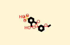 CCOc1cccc(OC(=O)c2ccc(S(=O)(=O)O)cc2C(=O)O)c1